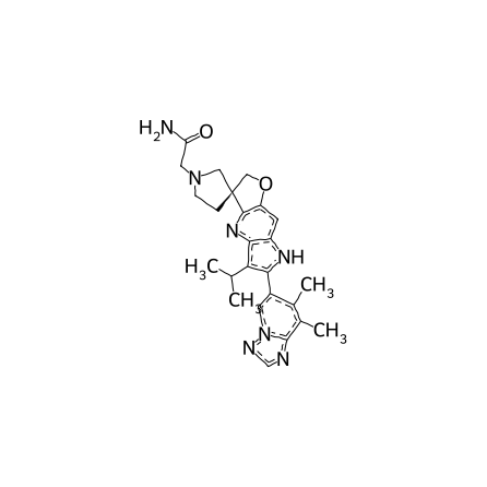 Cc1c(-c2[nH]c3cc4c(nc3c2C(C)C)[C@@]2(CCN(CC(N)=O)C2)CO4)cn2ncnc2c1C